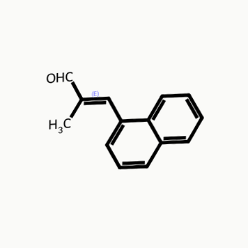 C/C(C=O)=C\c1cccc2ccccc12